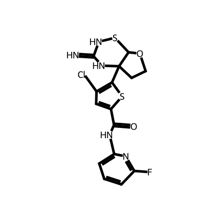 N=C1NSC2OCCC2(c2sc(C(=O)Nc3cccc(F)n3)cc2Cl)N1